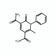 Cc1c(C(N)=O)cc(C(N)=O)c(=O)n1-c1ccccc1